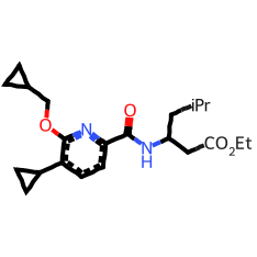 CCOC(=O)CC(CC(C)C)NC(=O)c1ccc(C2CC2)c(OCC2CC2)n1